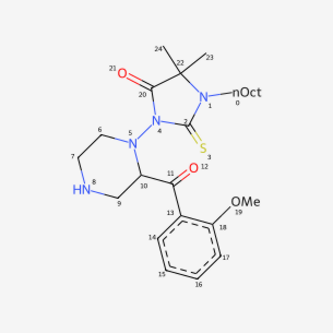 CCCCCCCCN1C(=S)N(N2CCNCC2C(=O)c2ccccc2OC)C(=O)C1(C)C